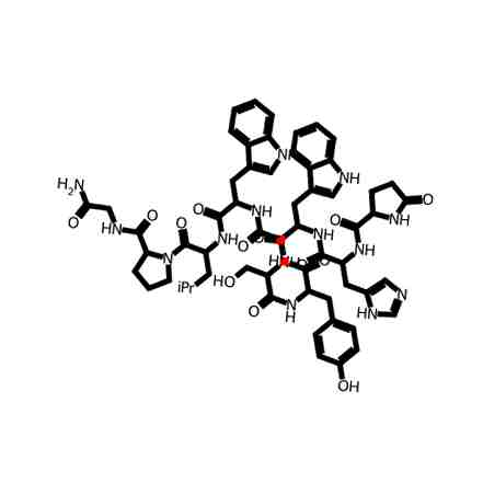 CC(C)CC(NC(=O)C(Cc1c[nH]c2ccccc12)NC(=O)CNC(=O)C(Cc1ccc(O)cc1)NC(=O)C(CO)NC(=O)C(Cc1c[nH]c2ccccc12)NC(=O)C(Cc1cnc[nH]1)NC(=O)C1CCC(=O)N1)C(=O)N1CCCC1C(=O)NCC(N)=O